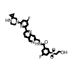 O=C(NCc1cc2nc(-c3cc(F)cc(N4CCNC5(CC5)C4)n3)ccc2cn1)c1cc(F)cc(S(=O)(=O)CCO)c1